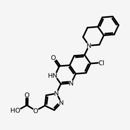 O=C(O)Oc1cnn(-c2nc3cc(Cl)c(N4CCc5ccccc5C4)cc3c(=O)[nH]2)c1